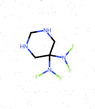 FN(F)C1(N(F)F)CNCNC1